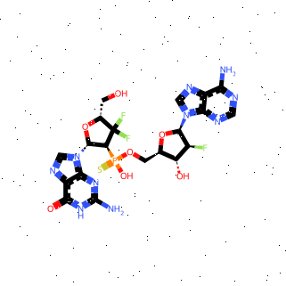 Nc1nc2c(ncn2[C@@H]2O[C@H](CO)C(F)(F)[C@H]2P(O)(=S)OC[C@H]2O[C@@H](n3cnc4c(N)ncnc43)[C@@H](F)[C@@H]2O)c(=O)[nH]1